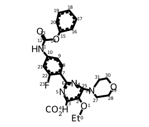 CCOc1c(C(=O)O)nc(-c2ccc(NC(=O)Oc3ccccc3)cc2F)nc1N1CCOCC1